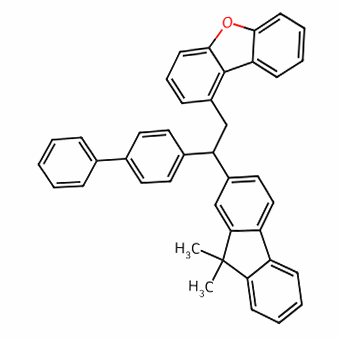 CC1(C)c2ccccc2-c2ccc(C(Cc3cccc4oc5ccccc5c34)c3ccc(-c4ccccc4)cc3)cc21